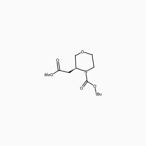 COC(=O)C[C@H]1COCCN1C(=O)OC(C)(C)C